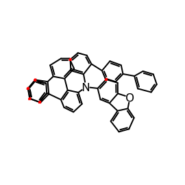 c1ccc(-c2ccc(-c3ccccc3N(c3ccc4oc5ccccc5c4c3)c3cccc(-c4ccccc4)c3-c3ccccc3-c3ccccc3)cc2)cc1